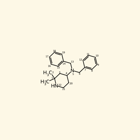 CC1(C)CC(N(Cc2ccccc2)Cc2ccccc2)CCN1